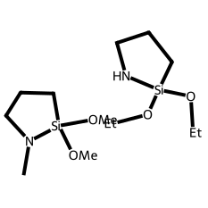 CCO[Si]1(OCC)CCCN1.CO[Si]1(OC)CCCN1C